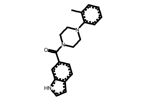 Cc1ccccc1N1CCN(C(=O)c2ccc3cc[nH]c3c2)CC1